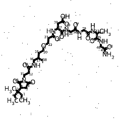 CCC(C)(CC)C1CC(=O)N(CCC(=O)NCC(I)CCOCCC(=O)NC(CC(=O)O)C(=O)NCC(=O)NCC(=O)NC(C)C(=O)NCC(N)=O)C1=O